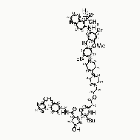 CCc1cc(Nc2ncc(Br)c(Nc3ccc4nccnc4c3P(C)(C)=O)n2)c(OC)cc1N1CCC(N2CCN(CCOCCC(=O)NC(C(=O)N3C[C@H](O)C[C@H]3C(=O)NCc3ccc(-c4scnc4C)cc3)C(C)(C)C)CC2)CC1